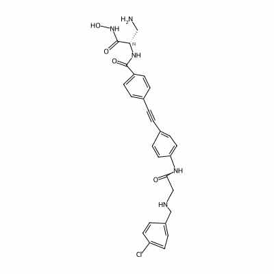 NC[C@H](NC(=O)c1ccc(C#Cc2ccc(NC(=O)CNCc3ccc(Cl)cc3)cc2)cc1)C(=O)NO